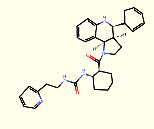 O=C(NCCc1ccccn1)N[C@@H]1CCCC[C@@H]1C(=O)N1CC[C@@H]2[C@H](C3C=CC=CC3)Nc3ccccc3[C@@H]21